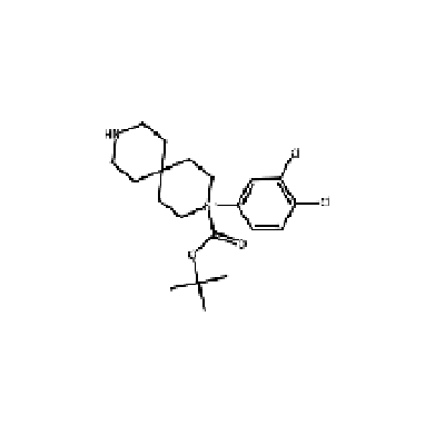 CC(C)(C)OC(=O)[N+]1(c2ccc(Cl)c(Cl)c2)CCC2(CCNCC2)CC1